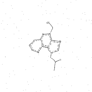 CC(C)Cn1cnc2c(CCl)nc3cccnc3c21